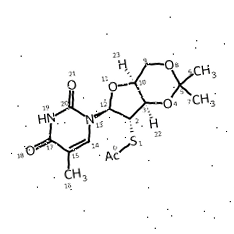 CC(=O)S[C@H]1[C@@H]2OC(C)(C)OC[C@@H]2O[C@@H]1n1cc(C)c(=O)[nH]c1=O